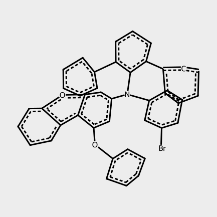 Brc1cccc(N(c2cc(Oc3ccccc3)c3c(c2)oc2ccccc23)c2c(-c3ccccc3)cccc2-c2ccccc2)c1